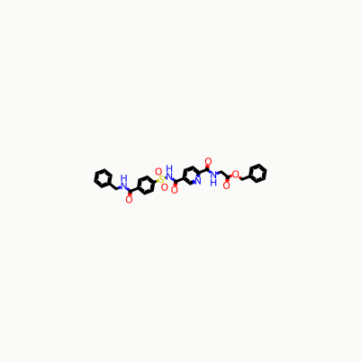 O=C(CNC(=O)c1ccc(C(=O)NS(=O)(=O)c2ccc(C(=O)NCc3ccccc3)cc2)cn1)OCc1ccccc1